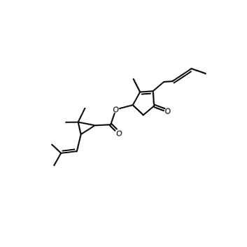 C/C=C/CC1=C(C)C(OC(=O)C2C(C=C(C)C)C2(C)C)CC1=O